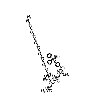 CC(C)[C@H](NC(=O)CCOCCOCCOCCOCCOCCOCCOCCOCCOCCN=[N+]=[N-])C(=O)N[C@@H](CCCNC(N)=O)C(=O)NCC(=O)N(C)CC(=O)Nc1ccc(CO[Si](c2ccccc2)(c2ccccc2)C(C)(C)C)cc1